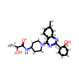 CCCC(O)C(=O)NC1CCN(c2nc(-c3ccccc3O)nc3cc(C)ccc23)CC1